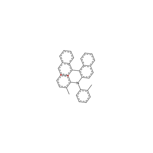 Cc1ccccc1N(c1ccccc1C)c1ccc2ccccc2c1-c1cccc2ccccc12